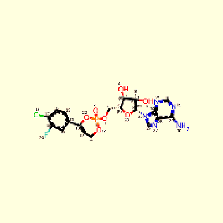 C[C@@]1(O)[C@H](O)[C@@H](COP2(=O)OCC=C(c3ccc(Cl)c(F)c3)O2)O[C@H]1n1cnc2c(N)ncnc21